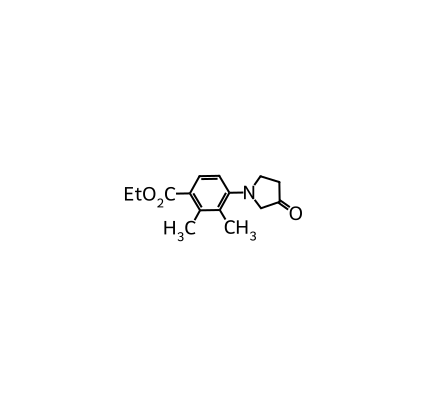 CCOC(=O)c1ccc(N2CCC(=O)C2)c(C)c1C